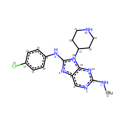 CC(C)(C)Nc1ncc2nc(Nc3ccc(Cl)cc3)n(C3CCNCC3)c2n1